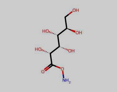 NOC(=O)[C@H](O)[C@@H](O)[C@H](O)[C@H](O)CO